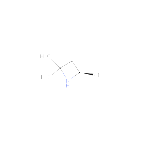 CC1(C)C[C@@H](C#N)N1